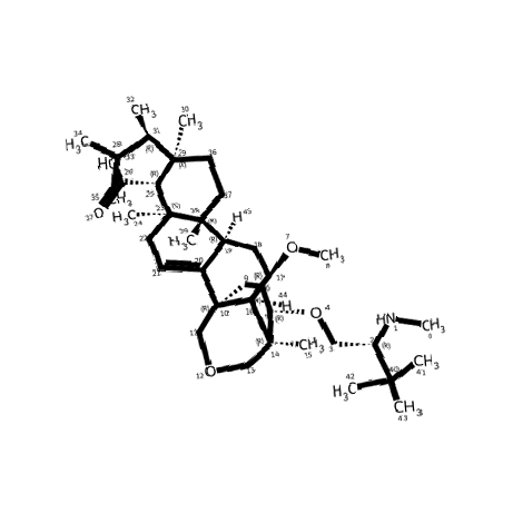 CN[C@@H](CO[C@H]1[C@H](OC)C[C@@]23COC[C@@]1(C)[C@@H]2CC[C@H]1C3=CC[C@@]2(C)[C@H](C(=O)O)[C@@](C)([C@H](C)C(C)C)CC[C@]12C)C(C)(C)C